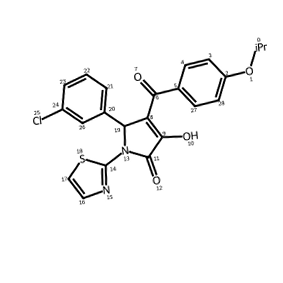 CC(C)Oc1ccc(C(=O)C2=C(O)C(=O)N(c3nccs3)C2c2cccc(Cl)c2)cc1